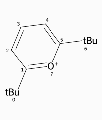 CC(C)(C)c1cccc(C(C)(C)C)[o+]1